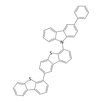 c1ccc(-c2ccc3c(c2)c2ccccc2n3-c2cccc3c2sc2ccc(-c4cccc5c4sc4ccccc45)cc23)cc1